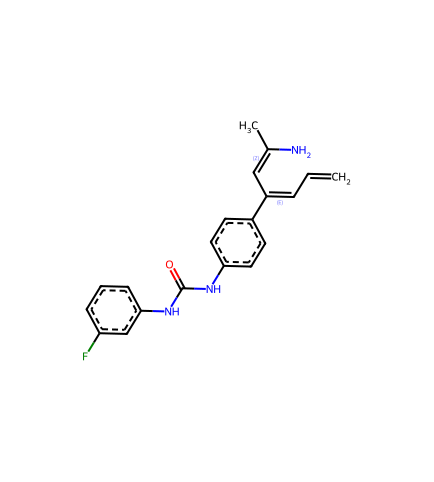 C=C/C=C(\C=C(\C)N)c1ccc(NC(=O)Nc2cccc(F)c2)cc1